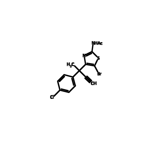 C#CC(C)(c1ccc(Cl)cc1)c1nc(NC(C)=O)sc1Br